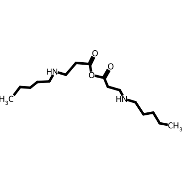 CCCCCNCCC(=O)OC(=O)CCNCCCCC